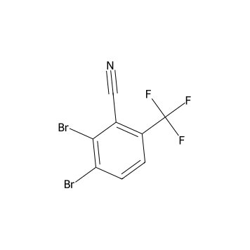 N#Cc1c(C(F)(F)F)ccc(Br)c1Br